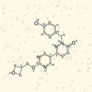 O=c1ccc(-c2cnc(OCC3COC3)nc2)nn1Cc1ccc(Cl)cc1